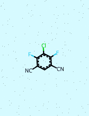 N#Cc1cc(C#N)c(F)c(Cl)c1F